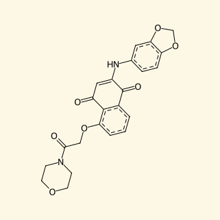 O=C1C(Nc2ccc3c(c2)OCO3)=CC(=O)c2c(OCC(=O)N3CCOCC3)cccc21